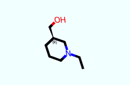 CCN1CCC[C@@H](CO)C1